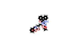 CC(C)(C)OC(=O)N=C1NC(c2ccccc2)(c2ccccc2)C(=O)N1CCCCN(Cc1ccccc1)C(=O)O